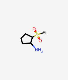 CCS(=O)(=O)C1CCCC1N